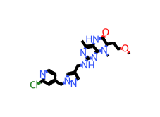 COCCC1C(=O)Nc2c(C)nc(NCc3cnn(Cc4ccnc(Cl)c4)c3)nc2N1C